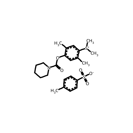 Cc1cc([S+](C)C)c(C)cc1OC(=O)N1CCCCC1.Cc1ccc(S(=O)(=O)[O-])cc1